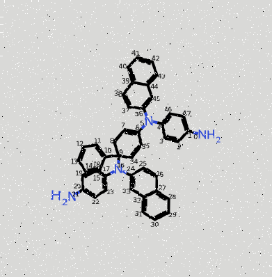 Nc1ccc(N(C2=CCC(c3ccccc3)(N(c3ccc(N)cc3)c3ccc4ccccc4c3)C=C2)c2ccc3ccccc3c2)cc1